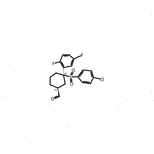 O=C[C@H]1CCC[C@@](c2cc(F)ccc2F)(S(=O)(=O)c2ccc(Cl)cc2)C1